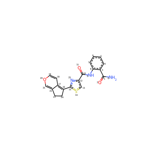 NC(=O)c1ccccc1NC(=O)c1csc(C2=C3C=COC=C3CC2)n1